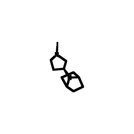 IN1CC[C@H](N2C3CCC2CC3)C1